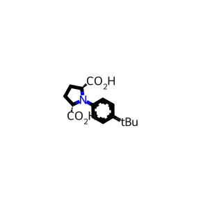 CC(C)(C)c1ccc(N2[C@H](C(=O)O)CC[C@H]2C(=O)O)cc1